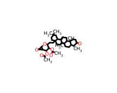 CC(=O)OC1C(CCC23CCC4C(=CCC5C4(C)CCC4C(C)C(=O)CCC45C)C2CC(C)(C)CC3)OC2C(=O)C2C1OC(C)=O